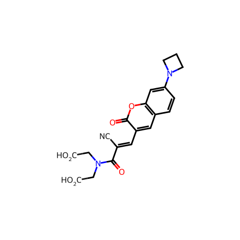 N#C/C(=C\c1cc2ccc(N3CCC3)cc2oc1=O)C(=O)N(CC(=O)O)CC(=O)O